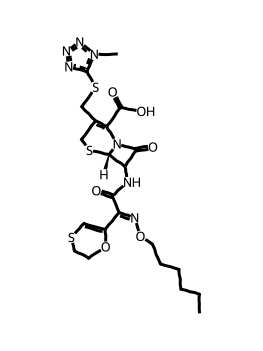 CCCCCCON=C(C(=O)NC1C(=O)N2C(C(=O)O)=C(CSc3nnnn3C)CS[C@@H]12)C1=CSCCO1